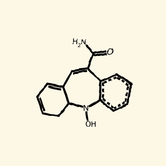 NC(=O)C1=CC2=CC=CCC2N(O)c2ccccc21